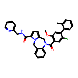 COc1cc(-c2ccccc2C)c(Cl)cc1C(=O)N1Cc2ccc(C(=O)NCc3ccccn3)n2Cc2ccccc21